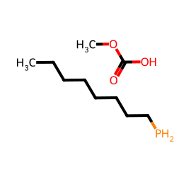 CCCCCCCCP.COC(=O)O